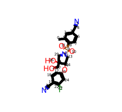 Cc1cc(C#N)ccc1S(=O)(=O)N1C[C@H](Oc2ccc(C#N)c(F)c2)[C@](O)(CO)C1